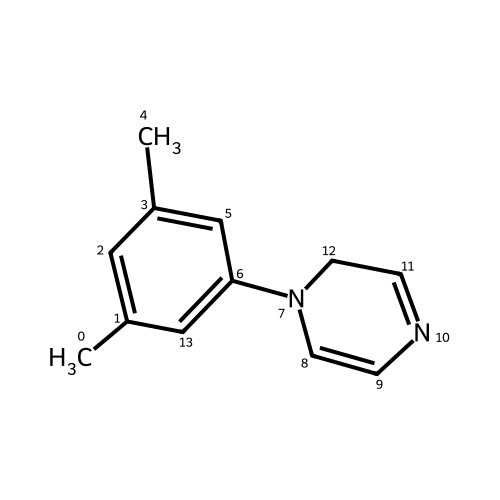 Cc1cc(C)cc(N2C=CN=CC2)c1